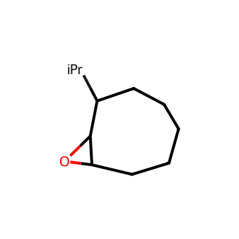 CC(C)C1CCCCCC2OC21